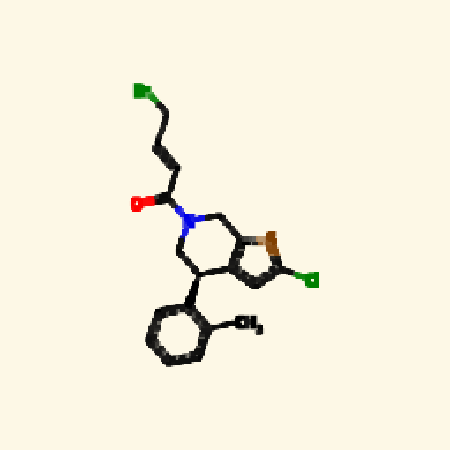 Cc1ccccc1[C@H]1CN(C(=O)/C=C/CBr)Cc2sc(Cl)cc21